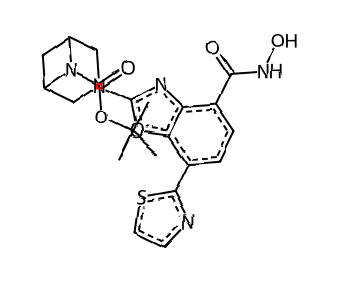 CC(C)(C)OC(=O)N1C2CC1CN(c1nc3c(C(=O)NO)ccc(-c4nccs4)c3o1)C2